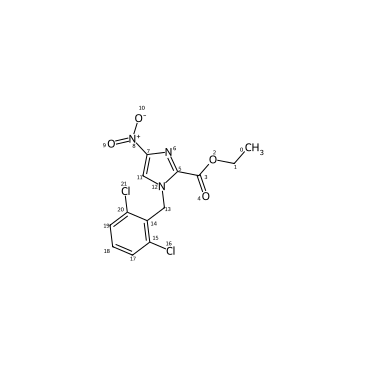 CCOC(=O)c1nc([N+](=O)[O-])cn1Cc1c(Cl)cccc1Cl